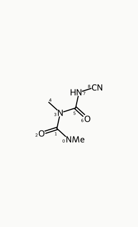 CNC(=O)N(C)C(=O)NC#N